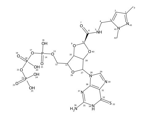 Cc1cc(CNC(=O)[C@@H]2OC3C(COP(=O)(O)OP(=O)(O)OP(=O)(O)O)OC(n4cnc5c(=S)[nH]c(N)nc54)C3O2)n(C)n1